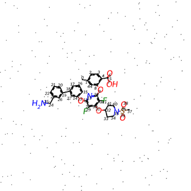 Cc1ccc(C(=O)O)c(Oc2nc(Oc3cccc(-c4cccc(CN)c4)c3)c(F)c(OC3CCN(S(C)(=O)=O)CC3)c2F)c1